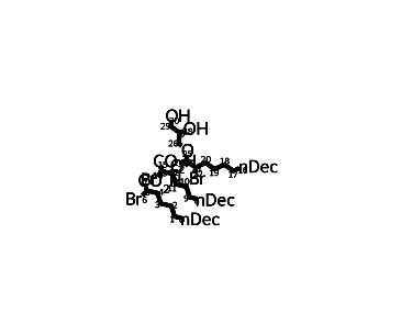 CCCCCCCCCCCCCCC(Br)C(=O)O.CCCCCCCCCCCCCCC(Br)C(=O)O.CCCCCCCCCCCCCCC(Br)C(=O)OCC(O)CO